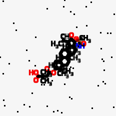 CC(C)C1=C2[C@H]3CC[C@@H]4[C@@]5(C)CC[C@H](OC(=O)CC(C)(C)C(=O)O)C(C)(C)[C@@H]5CC[C@@]4(C)[C@]3(C)CC[C@@]2(NS(C)(=O)=O)CC1=O